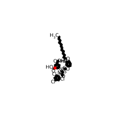 CCCCCCCCCCCCCC(=O)Nc1cccc(OC(=S)SC2C(=O)N(c3c(Cl)cc(Cl)cc3Cl)N=C2Nc2cc(C(=O)O)cc(C(=O)O)c2)c1